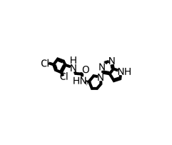 O=C(CNc1ccc(Cl)cc1Cl)N[C@@H]1CCCN(c2ncnc3[nH]ccc23)C1